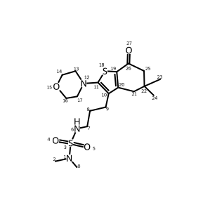 CN(C)S(=O)(=O)NCCCc1c(N2CCOCC2)sc2c1CC(C)(C)CC2=O